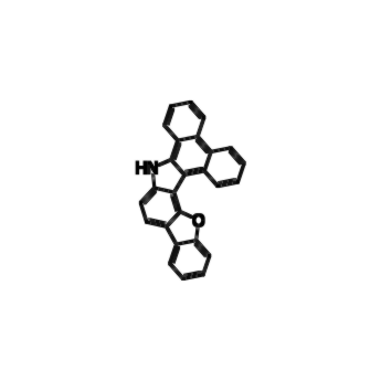 c1ccc2c(c1)oc1c2ccc2[nH]c3c4ccccc4c4ccccc4c3c21